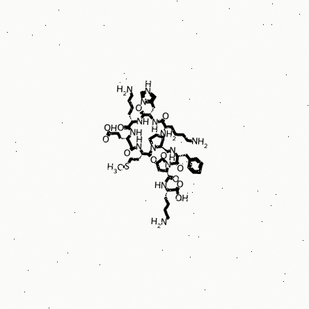 CSCC[C@H](NC(=O)[C@H](CCC(=O)O)NC(=O)[C@H](CCCCN)NC(=O)[C@H](Cc1c[nH]cn1)NC(=O)[C@@H](N)CCCCN)C(=O)N1CCC[C@H]1C(=O)N[C@@H](Cc1ccccc1)C(=O)N1CCC[C@H]1C(=O)N[C@@H](CCCCN)C(=O)O